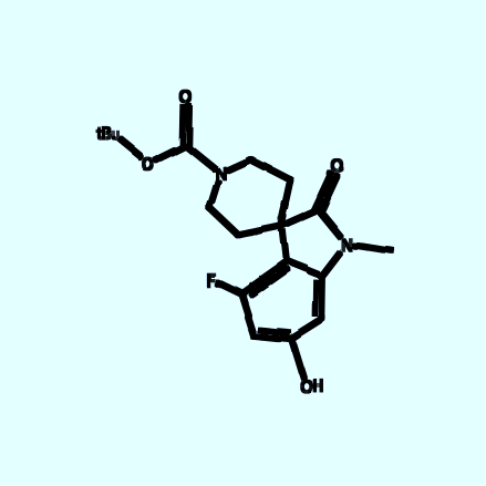 CN1C(=O)C2(CCN(C(=O)OC(C)(C)C)CC2)c2c(F)cc(O)cc21